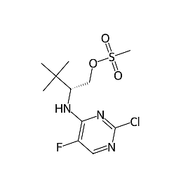 CC(C)(C)[C@H](COS(C)(=O)=O)Nc1nc(Cl)ncc1F